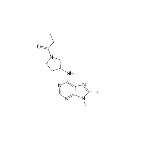 CCC(=O)N1CCC(Nc2ncnc3c2nc(I)n3C)C1